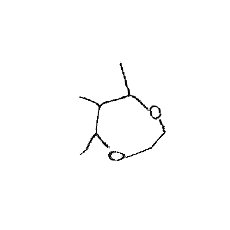 CC1OCCOC(C)C1C